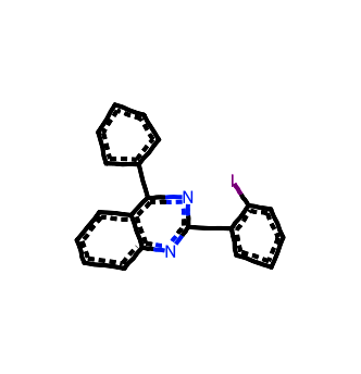 Ic1ccccc1-c1nc(-c2ccccc2)c2ccccc2n1